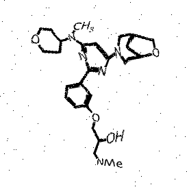 CNCC(O)COc1cccc(-c2nc(N3CC4COC(C4)C3)cc(N(C)C3CCOCC3)n2)c1